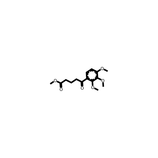 COC(=O)CCCC(=O)c1ccc(OC)c(OC)c1OC